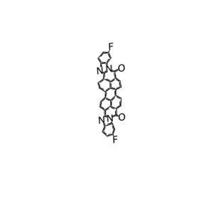 O=c1c2ccc3c4ccc5c(=O)n6c7cc(F)ccc7nc6c6ccc(c7ccc(c2c37)c2nc3ccc(F)cc3n12)c4c56